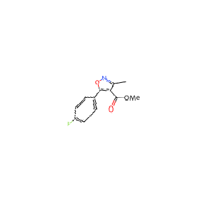 COC(=O)c1c(C)noc1-c1ccc(F)cc1